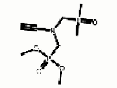 C#CN(CP(C)(C)=O)CP(=O)(OC)OC